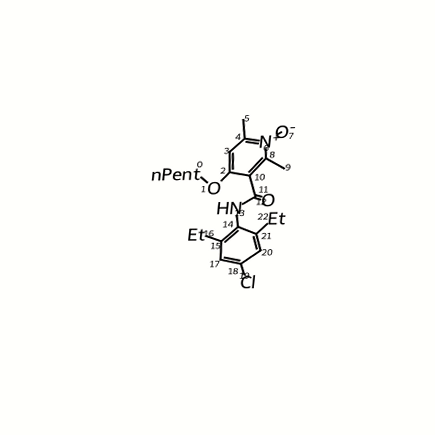 CCCCCOc1cc(C)[n+]([O-])c(C)c1C(=O)Nc1c(CC)cc(Cl)cc1CC